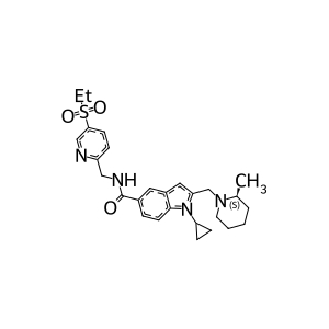 CCS(=O)(=O)c1ccc(CNC(=O)c2ccc3c(c2)cc(CN2CCCC[C@@H]2C)n3C2CC2)nc1